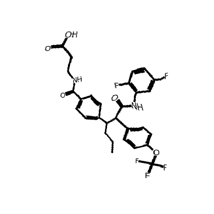 CCCC(c1ccc(C(=O)NCCC(=O)O)cc1)C(C(=O)Nc1cc(F)ccc1F)c1ccc(OC(F)(F)F)cc1